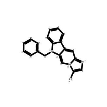 CCc1cnc2cc3c4ccccc4n(Cc4ccccc4)c3cn12